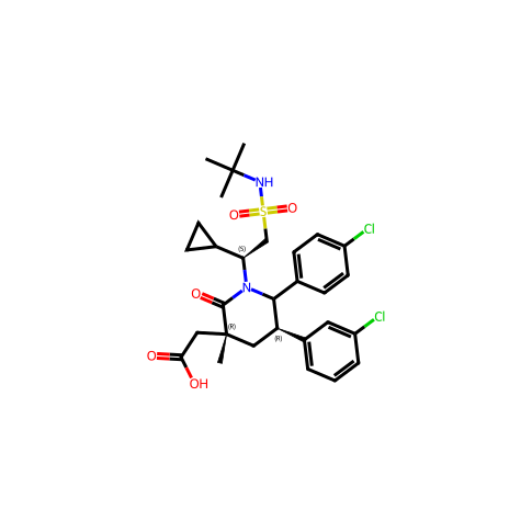 CC(C)(C)NS(=O)(=O)C[C@H](C1CC1)N1C(=O)[C@@](C)(CC(=O)O)C[C@H](c2cccc(Cl)c2)C1c1ccc(Cl)cc1